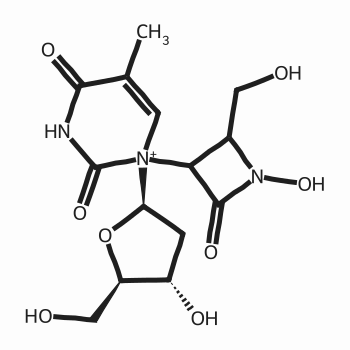 CC1=C[N+](C2C(=O)N(O)C2CO)([C@H]2C[C@H](O)[C@@H](CO)O2)C(=O)NC1=O